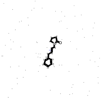 O=C1CCCN1C/C=C/Cc1ccccc1